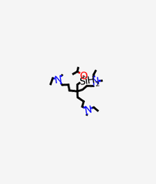 CCN(C)CCCC(CCCN(C)CC)(CCCN(C)CC)C[SiH2]OC(C)C